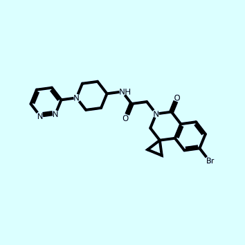 O=C(CN1CC2(CC2)c2cc(Br)ccc2C1=O)NC1CCN(c2cccnn2)CC1